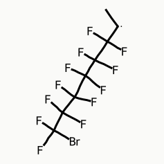 C[CH]C(F)(F)C(F)(F)C(F)(F)C(F)(F)C(F)(F)C(F)(F)Br